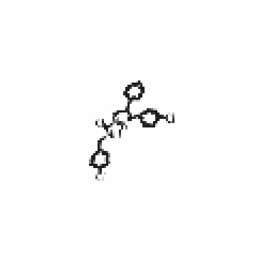 O=C(NCc1ccc(Cl)cc1)N1CC(c2ccccc2)C(c2ccc(Cl)cc2)=N1